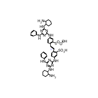 NC1CCCCC1Nc1nc(Nc2ccccc2)nc(Nc2ccc(/C=C/c3ccc(Nc4nc(Nc5ccccc5)nc(NC5CCCCC5N)n4)cc3S(=O)(=O)O)c(SOOO)c2)n1